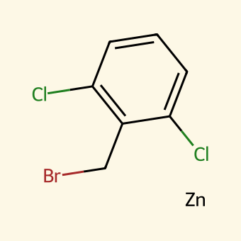 Clc1cccc(Cl)c1CBr.[Zn]